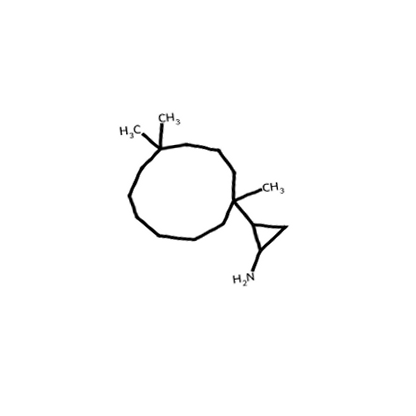 CC1(C)CCCCCCC(C)(C2CC2N)CCC1